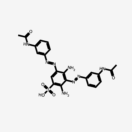 CC(=O)Nc1cccc(/N=N/c2cc(S(=O)(=O)O)c(N)c(/N=N/c3cccc(NC(C)=O)c3)c2N)c1